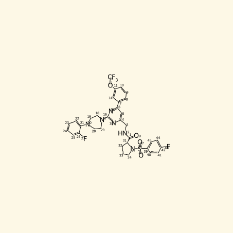 O=C(NCc1cc(-c2cccc(OC(F)(F)F)c2)nc(N2CCN(c3ccccc3F)CC2)n1)[C@@H]1CCCN1S(=O)(=O)c1ccc(F)cc1